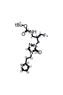 CC(C)(C)OC(=O)NC/C(=C/F)Cn1ncn(CCc2cccs2)c1=O